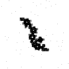 COC(=O)c1ccc2nc(CN3CCN(c4cccc(OCc5ccc(C#N)cc5F)n4)C=N3)n(C[C@@H]3CCO3)c2c1